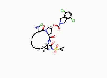 O=C1N[C@]2(C(=O)NS(=O)(=O)C3CC3)C[C@H]2/C=C\CCCCC[C@H](NCl)C(=O)N2C[C@H](OC(=O)N3Cc4c(Cl)ccc(Cl)c4C3)CC12